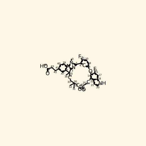 Cn1nc2nc1-c1cc(ccc1F)Oc1c(F)cc3[nH]ccc3c1CCS(=O)(=O)CC(C)(C)CCC2(C)c1cccc(CCC(=O)O)c1